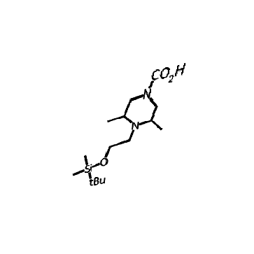 CC1CN(C(=O)O)CC(C)N1CCO[Si](C)(C)C(C)(C)C